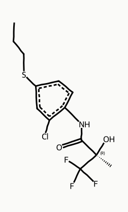 CCCSc1ccc(NC(=O)[C@@](C)(O)C(F)(F)F)c(Cl)c1